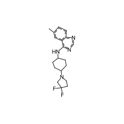 Cc1ccc2ncnc(NC3CCC(N4CCC(F)(F)C4)CC3)c2c1